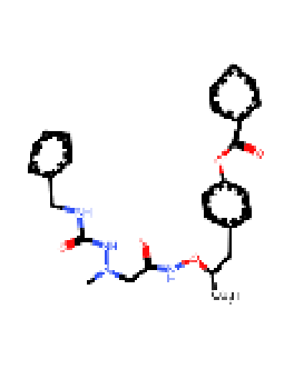 CN(CC(=O)NO[C@@H](Cc1ccc(OC(=O)c2ccccc2)cc1)C(=O)O)NC(=O)NCc1ccccc1